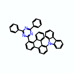 c1ccc(-c2nc(-c3ccccc3)nc(-c3cccc4c5cccc(-n6c7ccccc7c7ccccc76)c5c5ccccc5c34)n2)cc1